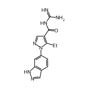 CCc1c(C(=O)NC(=N)N)cnn1-c1ccc2cn[nH]c2c1